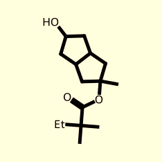 CCC(C)(C)C(=O)OC1(C)CC2CC(O)CC2C1